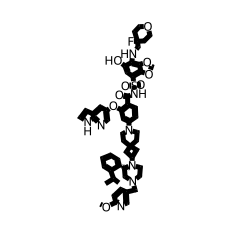 COc1ccc(CN2CCN(C3CC4(CCN(c5ccc(C(=O)NS(=O)(=O)c6cc(O)c(NCC7(F)CCOCC7)c7c6OCO7)c(Oc6cnc7[nH]ccc7c6)c5)CC4)C3)[C@H](c3ccccc3C(C)C)C2)cn1